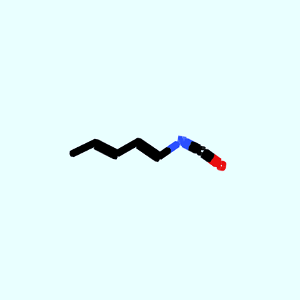 CC=CC=CN=C=O